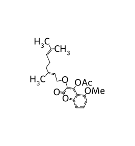 COc1cccc2oc(=O)c(OC/C=C(\C)CCC=C(C)C)c(OC(C)=O)c12